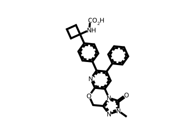 Cn1nc2n(c1=O)-c1cc(-c3ccccc3)c(-c3ccc(C4(NC(=O)O)CCC4)cc3)nc1OC2